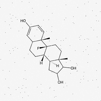 C[C@]12C=CC(O)=CC1CC[C@H]1[C@@H]3CC(O)C(O)[C@@]3(C)CC[C@]12F